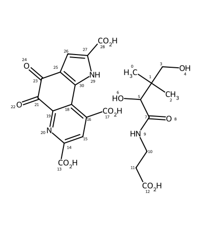 CC(C)(CO)C(O)C(=O)NCCC(=O)O.O=C(O)c1cc(C(=O)O)c2c(n1)C(=O)C(=O)c1cc(C(=O)O)[nH]c1-2